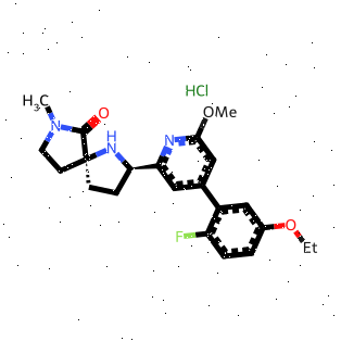 CCOc1ccc(F)c(-c2cc(OC)nc([C@H]3CC[C@@]4(CCN(C)C4=O)N3)c2)c1.Cl